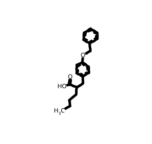 CCCCC(Cc1ccc(OCc2ccccc2)cc1)C(=O)O